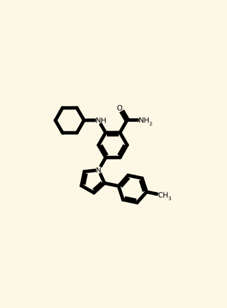 Cc1ccc(-c2cccn2-c2ccc(C(N)=O)c(NC3CCCCC3)c2)cc1